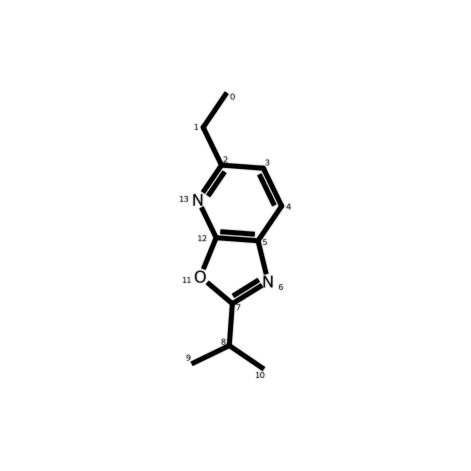 CCc1ccc2nc(C(C)C)oc2n1